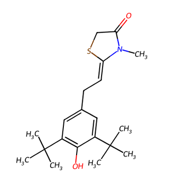 CN1C(=O)CSC1=CCc1cc(C(C)(C)C)c(O)c(C(C)(C)C)c1